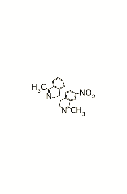 CC1=NCCc2ccc([N+](=O)[O-])cc21.CC1=NCCc2ccccc21